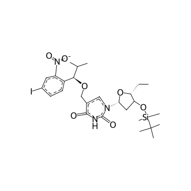 CC[C@H]1O[C@@H](n2cc(CO[C@@H](c3ccc(I)cc3[N+](=O)[O-])C(C)C)c(=O)[nH]c2=O)CC1O[Si](C)(C)C(C)(C)C